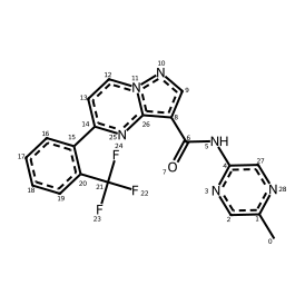 Cc1cnc(NC(=O)c2cnn3ccc(-c4ccccc4C(F)(F)F)nc23)cn1